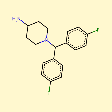 NC1CCN(C(c2ccc(F)cc2)c2ccc(F)cc2)CC1